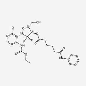 CCOC(=O)Nc1ccnc(=O)n1[C@@H]1O[C@H](CO)[C@@H](OC(=O)CCCCC(=O)Nc2ccccc2)C1(F)F